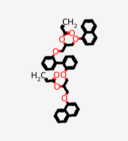 C=CC(=O)OC(COc1ccccc1-c1ccccc1OCC(COc1cccc2ccccc12)OC(=O)C=C)COc1cccc2ccccc12